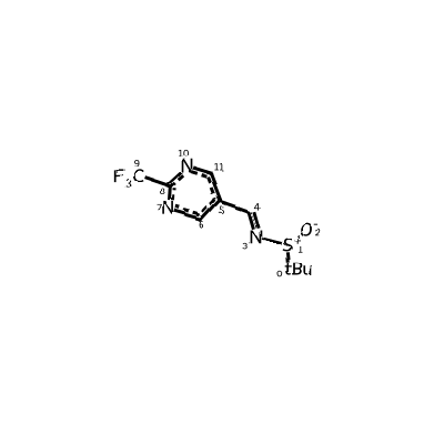 CC(C)(C)[S+]([O-])/N=C/c1cnc(C(F)(F)F)nc1